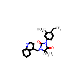 CC1(C)C(=O)N(c2ccc(CC(F)(F)F)c(C(=O)O)c2)C(=O)N1Cc1ccnc2ccccc12